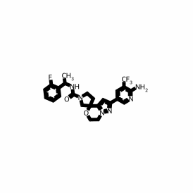 CC(NC(=O)N1CCC2(C1)OCCn1nc(-c3cnc(N)c(C(F)(F)F)c3)cc12)c1ccccc1F